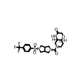 O=C1CO[C@H]2CCN(C(=O)N3CC4CN(S(=O)(=O)c5ccc(C(F)(F)F)cc5)CC4C3)C[C@H]2N1